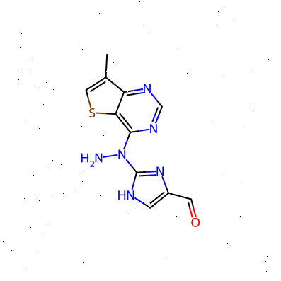 Cc1csc2c(N(N)c3nc(C=O)c[nH]3)ncnc12